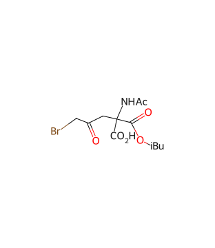 CCC(C)OC(=O)C(CC(=O)CBr)(NC(C)=O)C(=O)O